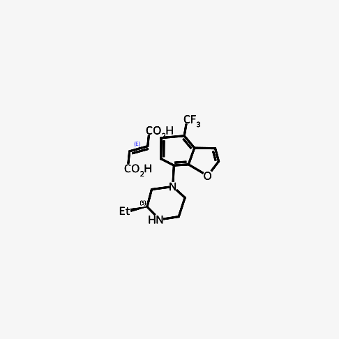 CC[C@H]1CN(c2ccc(C(F)(F)F)c3ccoc23)CCN1.O=C(O)/C=C/C(=O)O